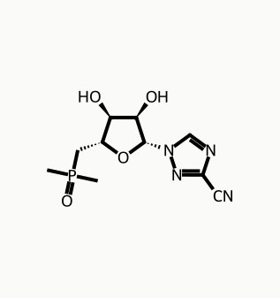 CP(C)(=O)C[C@H]1O[C@@H](n2cnc(C#N)n2)[C@H](O)[C@@H]1O